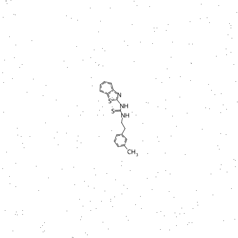 Cc1cccc(CCNC(=S)Nc2nc3ccccc3s2)c1